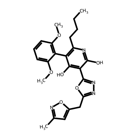 CCCCc1nc(O)c(-c2nnc(Cc3cc(C)no3)o2)c(O)c1-c1c(OC)cccc1OC